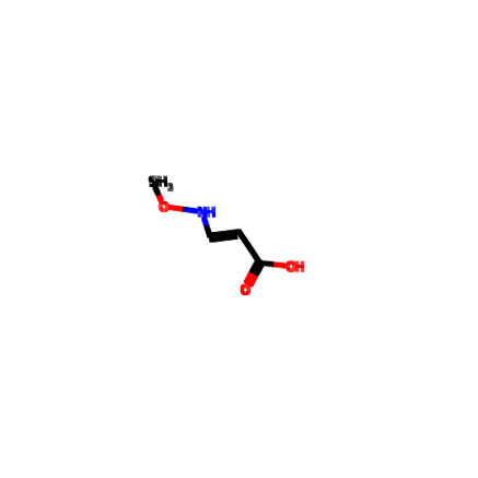 O=C(O)C=CNO[SiH3]